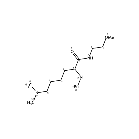 COCCNC(=O)C(CCCCN(C)C)NC(C)(C)C